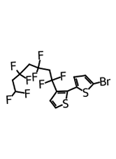 FC(F)CC(F)(F)CC(F)(F)CC(F)(F)c1ccsc1-c1ccc(Br)s1